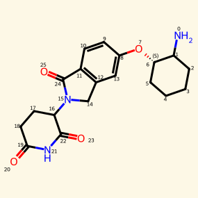 NC1CCCC[C@@H]1Oc1ccc2c(c1)CN(C1CCC(=O)NC1=O)C2=O